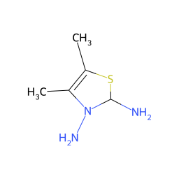 CC1=C(C)N(N)C(N)S1